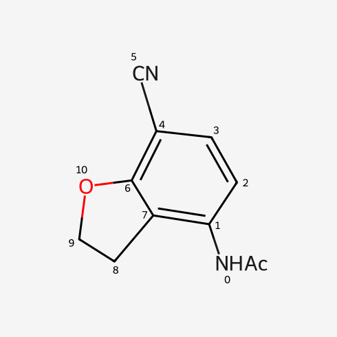 CC(=O)Nc1ccc(C#N)c2c1CCO2